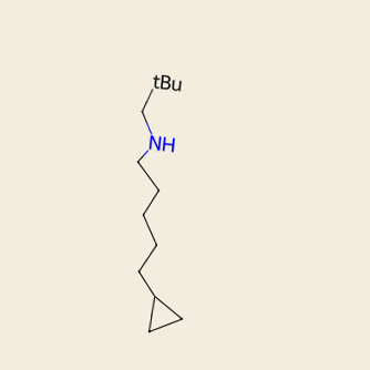 CC(C)(C)CNCCCCCC1CC1